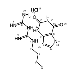 CCCCNC(=N)NC(=N)N.Cl.O=c1[nH]c(=O)c2[nH]cnc2[nH]1